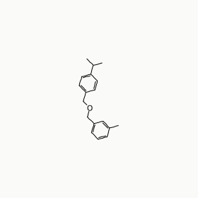 Cc1cccc(COCc2ccc(C(C)C)cc2)c1